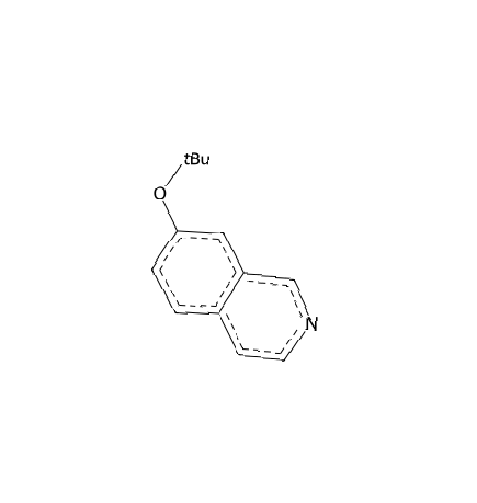 CC(C)(C)Oc1ccc2ccncc2c1